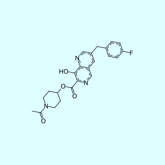 CC(=O)N1CCC(OC(=O)c2ncc3cc(Cc4ccc(F)cc4)cnc3c2O)CC1